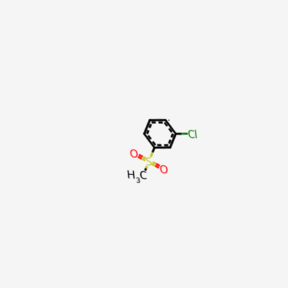 CS(=O)(=O)c1cc[c]c(Cl)c1